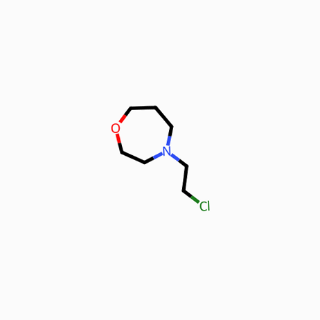 ClCCN1CCCOCC1